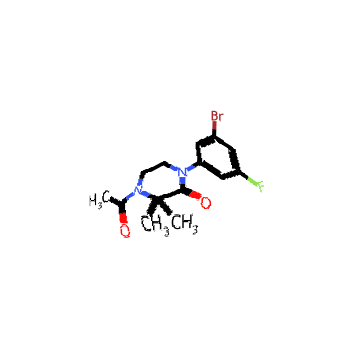 CC(=O)N1CCN(c2cc(F)cc(Br)c2)C(=O)C1(C)C